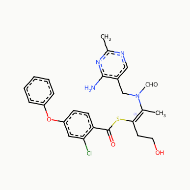 C/C(=C(\CCO)SC(=O)c1ccc(Oc2ccccc2)cc1Cl)N(C=O)Cc1cnc(C)nc1N